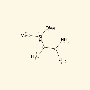 CO[SiH](OC)C(C)C(C)N